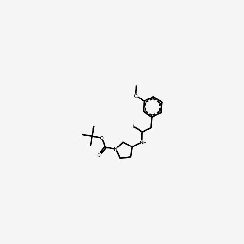 COc1cccc(CC(I)NC2CCN(C(=O)OC(C)(C)C)C2)c1